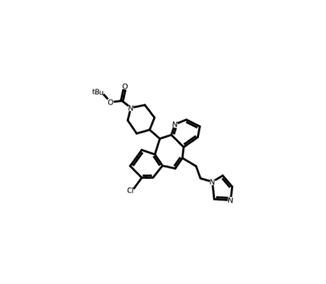 CC(C)(C)OC(=O)N1CCC(C2c3ccc(Cl)cc3C=C(CCn3ccnc3)c3cccnc32)CC1